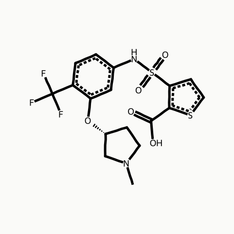 CN1CC[C@@H](Oc2cc(NS(=O)(=O)c3ccsc3C(=O)O)ccc2C(F)(F)F)C1